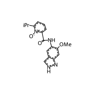 COc1cc2n[nH]cc2cc1NC(=O)c1cccc(C(C)C)[n+]1[O-]